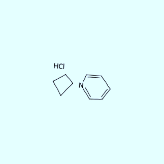 C1CCC1.Cl.c1ccncc1